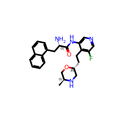 C[C@H]1CO[C@H](CCc2c(F)cncc2NC(=O)[C@@H](N)Cc2cccc3ccccc23)CN1